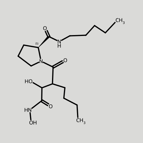 CCCCCNC(=O)[C@@H]1CCCN1C(=O)C(CCCC)C(O)C(=O)NO